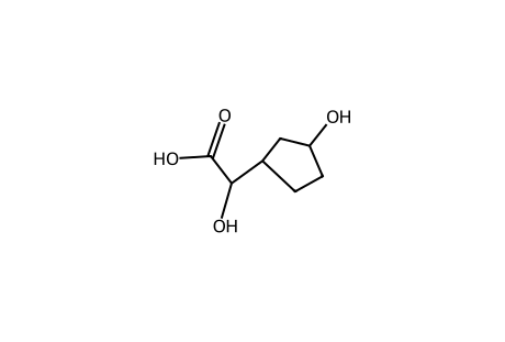 O=C(O)C(O)C1CCC(O)C1